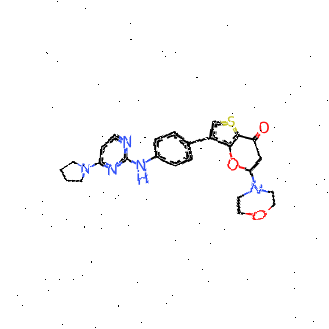 O=C1CC(N2CCOCC2)Oc2c(-c3ccc(Nc4nccc(N5CCCC5)n4)cc3)csc21